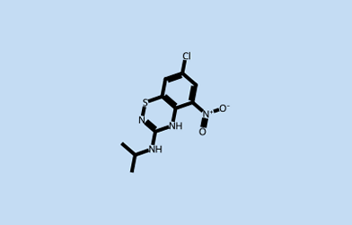 CC(C)NC1=NSc2cc(Cl)cc([N+](=O)[O-])c2N1